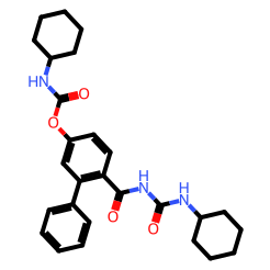 O=C(NC(=O)c1ccc(OC(=O)NC2CCCCC2)cc1-c1ccccc1)NC1CCCCC1